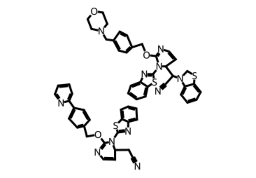 N#CC(C1C=CN=C(OCc2ccc(CN3CCOCC3)cc2)N1c1nc2ccccc2s1)N1CSc2ccccc21.N#CCC1C=CN=C(OCc2ccc(-c3ccccn3)cc2)N1c1nc2ccccc2s1